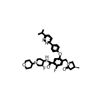 CC(C)c1ccc(-c2ccc(Oc3cc(C(=O)NC4CCN(C5CCOCC5)C[C@H]4F)c(F)cc3CN3C[C@@H](C)CC3=O)cc2)nn1